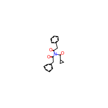 O=C(Cc1ccccc1)N(C(=O)Cc1ccccc1)C(=O)C1CC1